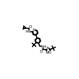 CC(C)(C)c1nc(C(=O)NCc2ccc(-c3ccnc(NC(=O)C4CC4)c3)cc2C(C)(C)C)no1